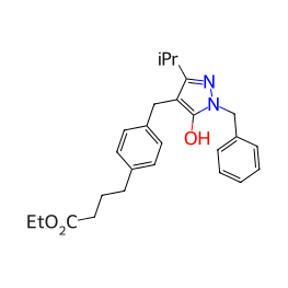 CCOC(=O)CCCc1ccc(Cc2c(C(C)C)nn(Cc3ccccc3)c2O)cc1